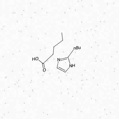 CCCCC(=O)O.CCCCc1ncc[nH]1